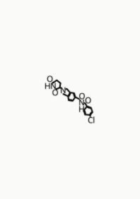 O=C1CCC(N2Cc3ccc(C(=O)NC(=O)c4ccc(Cl)cc4)cc3C2)C(=O)N1